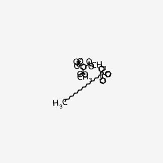 CCCCCCCCCCCCCCCCCC[P+](c1ccccc1)(c1ccccc1)c1ccccc1.COC(=O)c1cc(C(=O)OC)cc(S(=O)(=O)[O-])c1